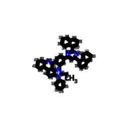 CCc1nc2c3c(-c4ccc(-c5cc(-c6cccc7ccccc67)nc(-c6cccc7ccccc67)n5)cc4)nc4ccccc4c3ccc2n1-c1ccccc1